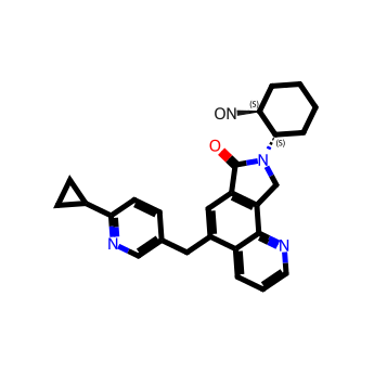 O=N[C@H]1CCCC[C@@H]1N1Cc2c(cc(Cc3ccc(C4CC4)nc3)c3cccnc23)C1=O